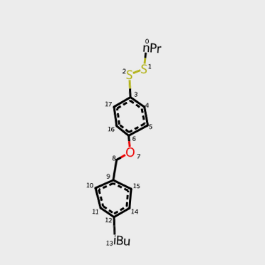 CCCSSc1ccc(OCc2ccc(C(C)CC)cc2)cc1